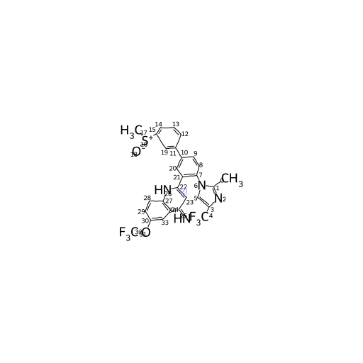 Cc1nc(C(F)(F)F)cn1-c1ccc(-c2cccc([S+](C)[O-])c2)cc1/C(=C/C=N)Nc1ccc(OC(F)(F)F)cc1